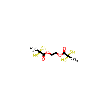 CC(S)(S)C(=O)OCCOC(=O)C(C)(S)S